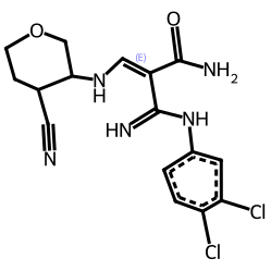 N#CC1CCOCC1N/C=C(\C(=N)Nc1ccc(Cl)c(Cl)c1)C(N)=O